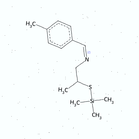 Cc1ccc(/C=N\CC(C)S[Si](C)(C)C)cc1